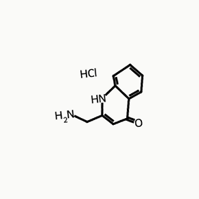 Cl.NCc1cc(=O)c2ccccc2[nH]1